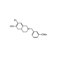 CCC1=C(O)CC2CCN(Cc3cccc(OC)c3)CC2=C1